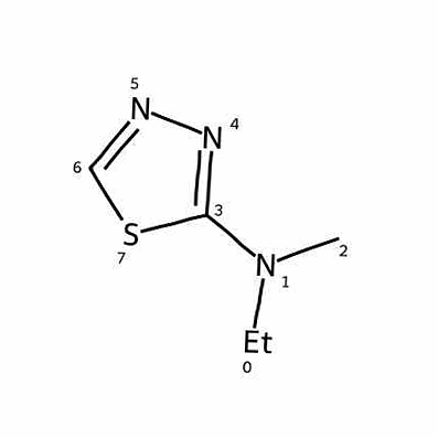 CCN(C)c1nncs1